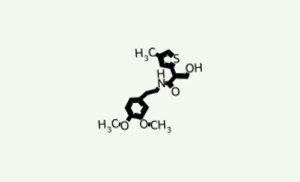 COc1ccc(CCNC(=O)C(=CO)c2cc(C)cs2)cc1OC